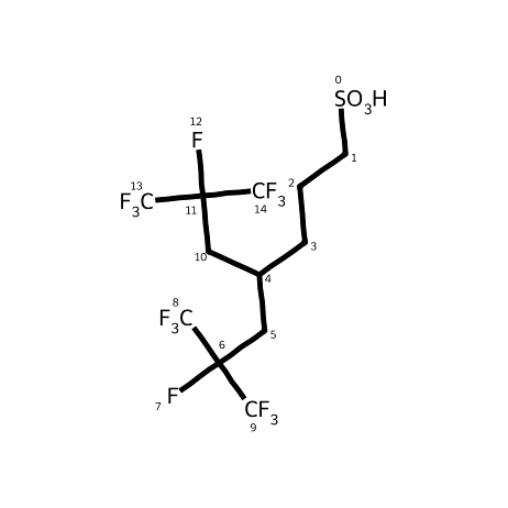 O=S(=O)(O)CCCC(CC(F)(C(F)(F)F)C(F)(F)F)CC(F)(C(F)(F)F)C(F)(F)F